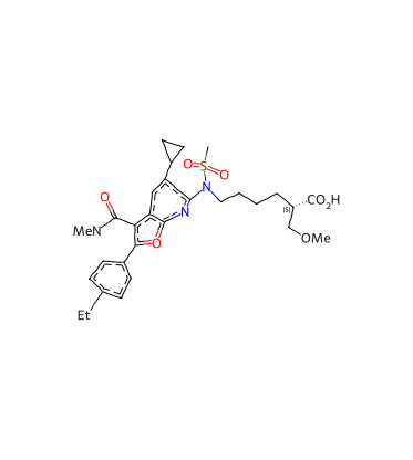 CCc1ccc(-c2oc3nc(N(CCCC[C@@H](COC)C(=O)O)S(C)(=O)=O)c(C4CC4)cc3c2C(=O)NC)cc1